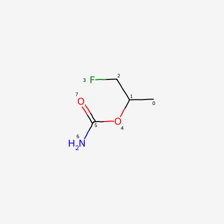 CC(CF)OC(N)=O